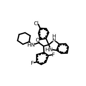 O=C(NC1CCCCC1)C(c1cc(F)ccc1F)C1(c2ccc(Cl)cc2)Nc2ccccc2N1